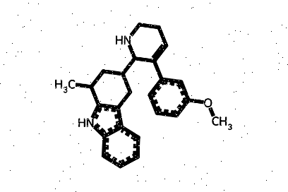 COc1cccc(C2=CCCNC2C2Cc3c([nH]c4ccccc34)C(C)C2)c1